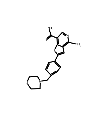 NC(=O)c1cnc(N)c2cc(-c3ccc(CN4CCOCC4)cc3)sc12